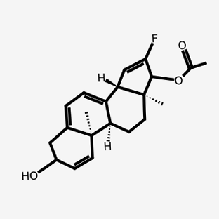 CC(=O)OC1C(F)=C[C@H]2C3=CC=C4CC(O)C=C[C@]4(C)[C@@H]3CC[C@]12C